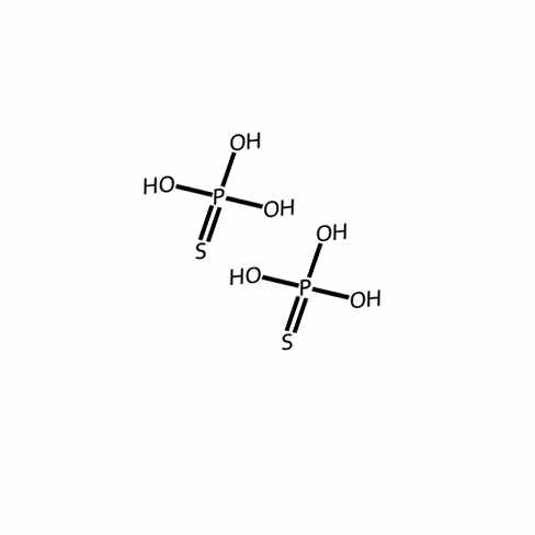 OP(O)(O)=S.OP(O)(O)=S